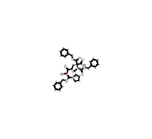 O=C(CBr)CC[C@](C(=O)O)(C(=O)OCc1ccccc1)N(C(=O)OCc1ccccc1)C(=O)[C@@H]1CCCN1C(=O)OCc1ccccc1